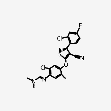 Cc1cc(N=CN(C)C)c(Cl)cc1Oc1snc(-c2ccc(F)cc2Cl)c1C#N